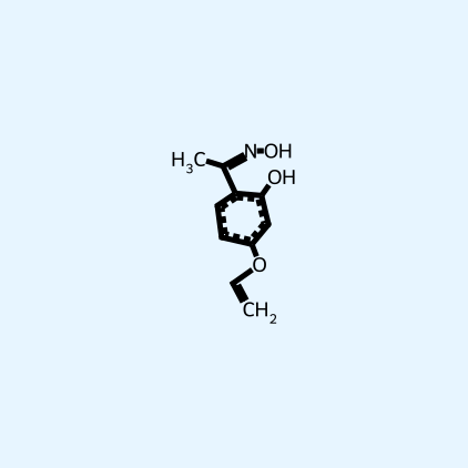 C=COc1ccc(/C(C)=N\O)c(O)c1